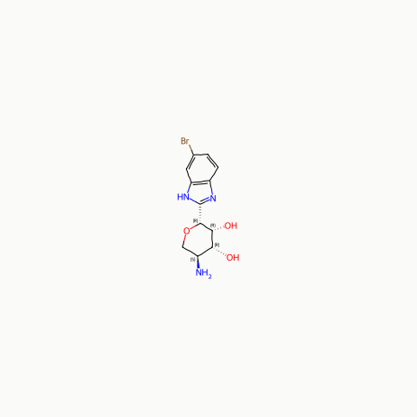 N[C@H]1CO[C@H](c2nc3ccc(Br)cc3[nH]2)[C@H](O)[C@@H]1O